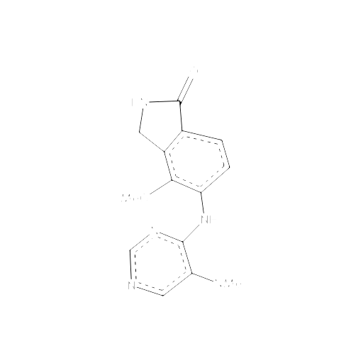 CNc1cncnc1Nc1ccc2c(c1OC)CNC2=O